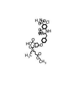 CCOC(=O)CCN(CC)C(=O)N1C[C@@H](Oc2ccc(CC3Nc4cc(Cl)c(S(N)(=O)=O)cc4S(=O)(=O)N3)cc2)C[C@H]1C(=O)O